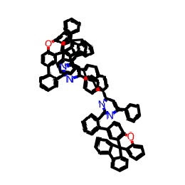 c1ccc(-c2cc(-c3ccc4ccc(-c5cccc6c5-c5ccccc5C65c6ccccc6Oc6ccc(-c7ccccc7-c7nc(-c8ccccc8)cc(-c8ccc(-c9ccccc9)c9ccccc89)n7)cc65)cc4c3)nc(-c3ccccc3-c3ccc4c(c3)C3(c5ccccc5O4)c4ccccc4-c4ccccc43)n2)cc1